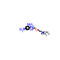 CN(C)CCCOCCNc1ccc(N)cc1N